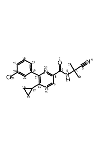 CC(C)(C#N)NC(=O)c1cnc(C2CC2)c(-c2cccc(Cl)c2)n1